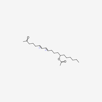 CCCCCCC(CCC/C=C/C=C/CCCC(C)=O)OC(C)=O